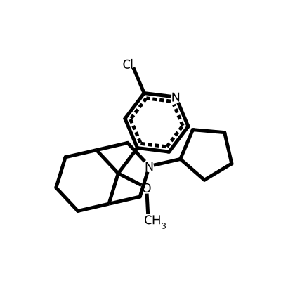 COC1(c2ccnc(Cl)c2)C2CCCC1CN(C1CCCC1)C2